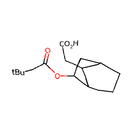 CC(C)(C)C(=O)OC1CC2CCC1C2CC(=O)O